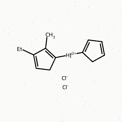 CCC1=CC[C]([Hf+2][C]2=CC=CC2)=C1C.[Cl-].[Cl-]